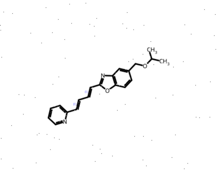 CC(C)OCc1ccc2oc(/C=C/C=C/c3ccccn3)nc2c1